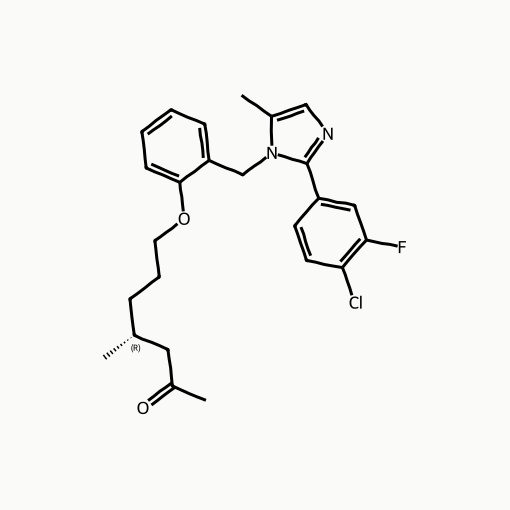 CC(=O)C[C@H](C)CCCOc1ccccc1Cn1c(C)cnc1-c1ccc(Cl)c(F)c1